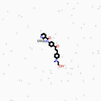 CSc1ncccc1C(=O)Nc1ccc(C(=O)/C=C/c2ccc(N(C)CCO)cc2)cc1